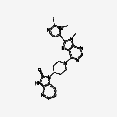 Cc1ncc(-c2nc3c(N4CCC(n5c(=O)[nH]c6ncccc65)CC4)ncnc3n2C)n1C